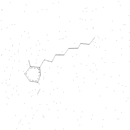 CCCCCCCCCCCCCCCCCCc1cc(OCCCC)ccc1O